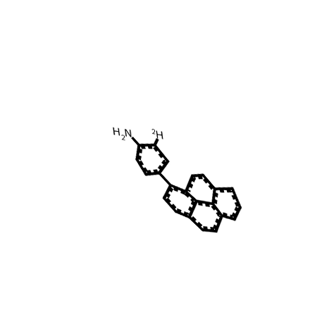 [2H]c1cc(-c2ccc3ccc4cccc5ccc2c3c45)ccc1N